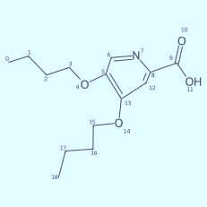 CCCCOc1cnc(C(=O)O)cc1OCCCC